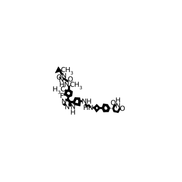 Cc1c([C@@H](C)NC(=O)c2noc(C3(C)CC3)n2)ccc(-c2ncnc3[nH]c4cc(NCCNC5CC(c6ccc([C@H]7CCC(=O)NC7=O)cc6)C5)ccc4c23)c1F